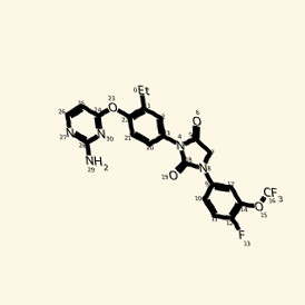 CCc1cc(N2C(=O)CN(c3ccc(F)c(OC(F)(F)F)c3)C2=O)ccc1Oc1ccnc(N)n1